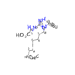 CC(=O)O.CCCCCCCCCCCCCCCCN(CCCC)C(=N)N